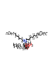 CCCCCCCCCCCCCCCCN(C)CCCCCCCCCCCCCCCC.O=S(=O)(O)O.O=S(=O)([O-])O.[H+]